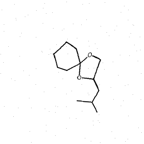 CC(C)CC1COC2(CCCCC2)O1